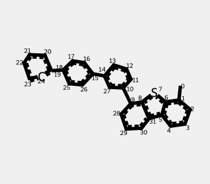 Cc1cccc2c1sc1c(-c3cccc(-c4ccc(-c5ccccc5)cc4)c3)cccc12